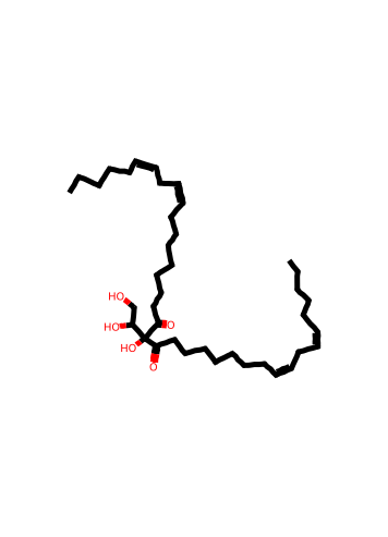 CCCCC/C=C\C/C=C\CCCCCCCC(=O)C(O)(C(=O)CCCCCCC/C=C\C/C=C\CCCCC)C(O)CO